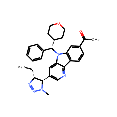 COC[C@H]1N=NN(C)[C@H]1c1cnc2c3ccc(C(=O)OC)cc3n([C@H](c3ccccc3)C3CCOCC3)c2c1